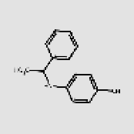 N#Cc1ccc(NC(C(=O)O)c2ccccc2)cc1